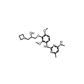 CNc1cc(C)nc(Nc2ccc(OC)c(OC[C@H](O)CN3CCC3)c2OC)n1